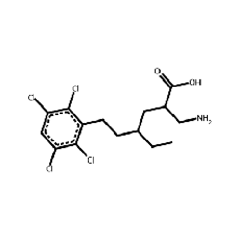 CCC(CCc1c(Cl)c(Cl)cc(Cl)c1Cl)CC(CN)C(=O)O